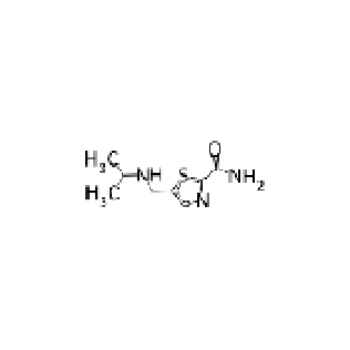 CC(C)NCc1cnc(C(N)=O)s1